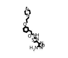 CN1CCN(CCCOc2cccc(CC(=O)Nc3nc(-c4nonc4N)cs3)c2)CC1